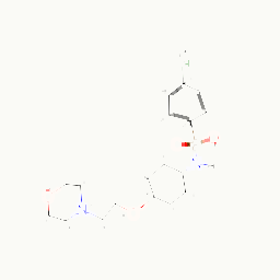 CN([C@H]1CC[C@H](OCCN2CCOCC2)CC1)S(=O)(=O)c1ccc(Br)cc1